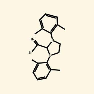 Cc1cccc(C)c1N1CCN(c2c(C)cccc2C)C1C(=N)Br